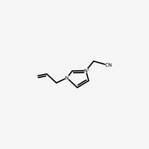 C=CCn1cc[n+](CC#N)c1